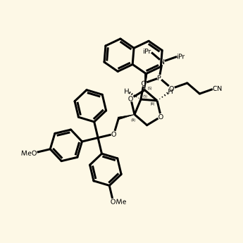 COc1ccc(C(OC[C@@]23CO[C@H]([C@H](c4cccc5ccccc45)O2)[C@@H]3OP(OCCC#N)N(C(C)C)C(C)C)(c2ccccc2)c2ccc(OC)cc2)cc1